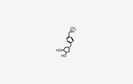 CNCc1ccc(CN2CC(O)C(O)C2)cc1